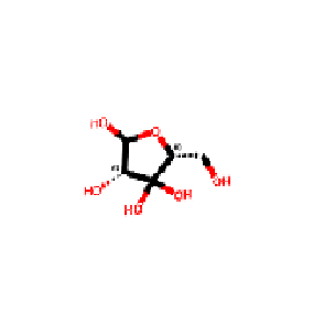 OC[C@H]1OC(O)[C@@H](O)C1(O)O